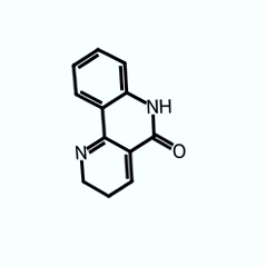 O=c1[nH]c2ccccc2c2c1=CCCN=2